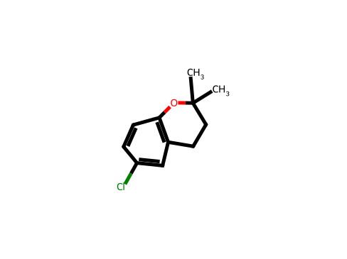 CC1(C)CCc2cc(Cl)ccc2O1